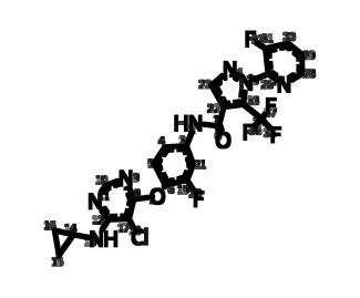 O=C(Nc1ccc(Oc2ncnc(NC3CC3)c2Cl)c(F)c1)c1cnn(-c2ncccc2F)c1C(F)(F)F